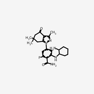 Cc1nn(-c2cc(F)c(C(N)=O)c(NC3CCCCC3N)c2)c2c1C(=O)CC(C)(C)C2